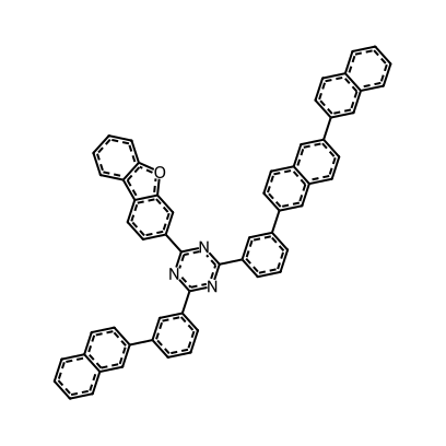 c1cc(-c2ccc3ccccc3c2)cc(-c2nc(-c3cccc(-c4ccc5cc(-c6ccc7ccccc7c6)ccc5c4)c3)nc(-c3ccc4c(c3)oc3ccccc34)n2)c1